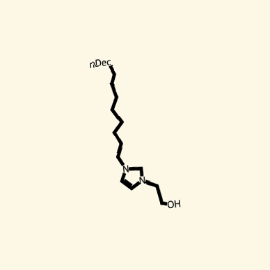 CCCCCCCCCCCCCCCCCCN1C=CN(CCO)C1